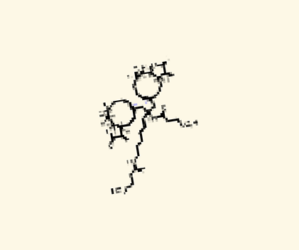 C=C1C(=O)O[C@H]2[C@H]1CC/C(CC(CCCCCCNC(=O)CCC(=O)O)(C/C1=C/CC[C@@]3(C)O[C@H]3[C@H]3OC(=O)C(=C)[C@@H]3CC1)NC(=O)CCC(=O)O)=C\CC[C@@]1(C)O[C@@H]21